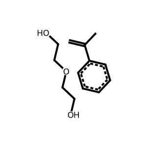 C=C(C)c1ccccc1.OCCOCCO